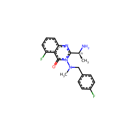 C[C@H](N)c1nc2cccc(F)c2c(=O)n1N(C)Cc1ccc(F)cc1